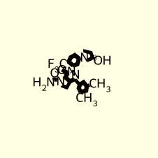 Cc1cc(C)cc(-c2nn(-c3cc(N4CC[C@H](O)C4)ccc3C(F)(F)F)c(=O)c3c2CCN3C(N)=O)c1